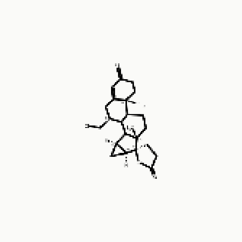 C[C@]12CCC(=O)C=C1C[C@H](CCl)C1C2CC[C@@]2(C)C1[C@@H]1C[C@@H]1[C@@]21CCC(=O)O1